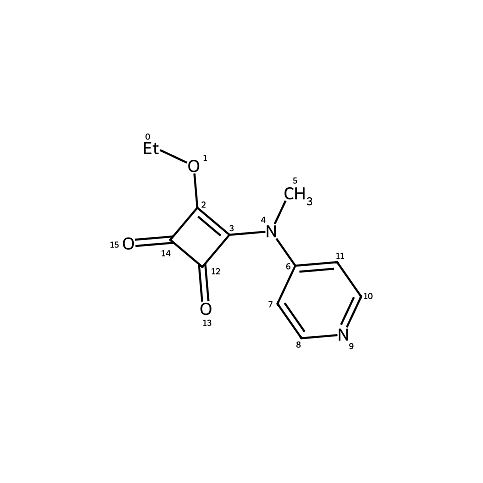 CCOc1c(N(C)c2ccncc2)c(=O)c1=O